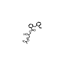 C=C=C(C)OOCC(O)COC(=O)c1ccccc1Cc1ccccc1C=C